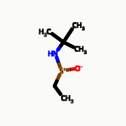 CC[S+]([O-])NC(C)(C)C